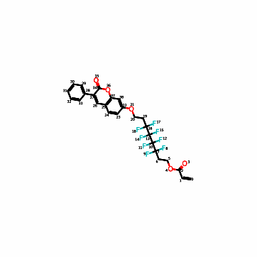 C=CC(=O)OCCC(F)(F)C(F)(F)C(F)(F)C(F)(F)CCOc1ccc2cc(-c3ccccc3)c(=O)oc2c1